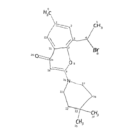 Cc1cc(C(C)Br)c2oc(N3CCC(C)(C)CC3)cc(=O)c2c1